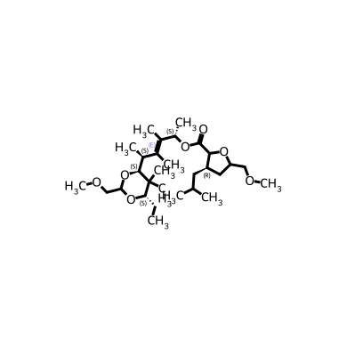 CC[C@@H]1OC(COC)O[C@@H]([C@@H](C)/C(C)=C(\C)[C@H](C)OC(=O)C2OC(COC)C[C@H]2CC(C)C)C1(C)C